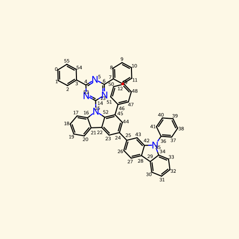 c1ccc(-c2nc(-c3ccccc3)nc(-n3c4ccccc4c4cc(-c5ccc6c7ccccc7n(-c7ccccc7)c6c5)cc(-c5ccccc5)c43)n2)cc1